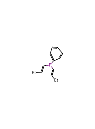 CCC=CP(C=CCC)c1ccccc1